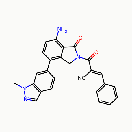 Cn1ncc2ccc(-c3ccc(N)c4c3CN(C(=O)/C(C#N)=C/c3ccccc3)C4=O)cc21